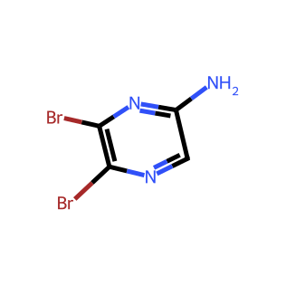 Nc1cnc(Br)c(Br)n1